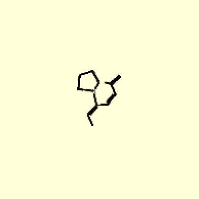 C=C(C)/C=C\C(=C/C)N1CCCC1